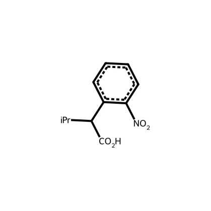 CC(C)C(C(=O)O)c1ccccc1[N+](=O)[O-]